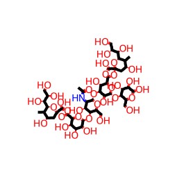 CC(=O)NC1[C@H](O[C@@H]2C(O)[C@H](O[C@@H]3C(CO)OC(O)C(O)[C@H]3O)OC(CO[C@]3(C(=O)O)C[C@@H](O)C(C)[C@H]([C@H](O)[C@H](O)CO)O3)[C@@H]2O)OC(CO)[C@@H](O[C@@H]2OC(CO[C@]3(C(=O)O)C[C@@H](O)C(C)[C@H]([C@H](O)[C@H](O)CO)O3)[C@H](O)[C@H](O)C2O)[C@@H]1O